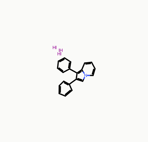 I.I.I.c1ccc(-c2cn3ccccc3c2-c2ccccc2)cc1